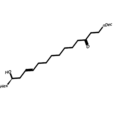 CCCCCCCCCCCCC(=O)CCCCCCCC=CC[C@H](O)CCCCCC